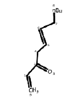 C=CC(=O)CC=CCCCCC